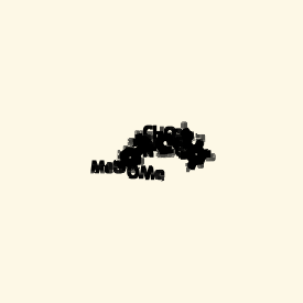 C=CC(c1c(C)c(C)cc(C)c1C)S(=O)(=O)N1CCC(N2N=C(c3ccc(OC)c(OC)c3)C(C)(C)C2C=O)CC1